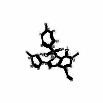 C=Cc1cn(C)c(=O)c2c1cc(-c1cnn(C)c1)n2S(=O)(=O)c1ccc(C)cc1